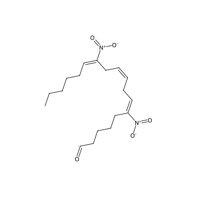 CCCCC/C=C(\C/C=C\C/C=C(\CCCC[C]=O)[N+](=O)[O-])[N+](=O)[O-]